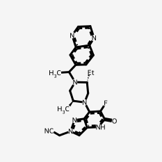 CC[C@@H]1CN(c2c(F)c(=O)[nH]c3cn(CC#N)nc23)[C@@H](C)CN1C(C)c1ccc2nccnc2c1